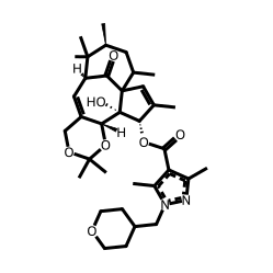 CC1=CC23C(=O)[C@@H](C=C4COC(C)(C)O[C@H]4[C@]2(O)[C@H]1OC(=O)c1c(C)nn(CC2CCOCC2)c1C)C(C)(C)[C@@H](C)CC3C